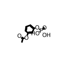 CC(=O)Oc1cccc(OP(=O)(O)O)c1